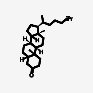 CC(C)CCCC(C)[C@H]1CC[C@H]2[C@@H]3CC[C@H]4CC(=O)CC[C@@]4(C)[C@@H]3CC[C@]12C